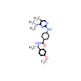 Cc1cnc(NC2CCC(C(=O)N[C@@H](C)c3ccc(OC(F)(F)F)cc3)CC2)nc1N(C)C